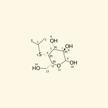 CC(C)S[C@@H]1[C@H](O)[C@@H](O)C(O)O[C@@H]1CO